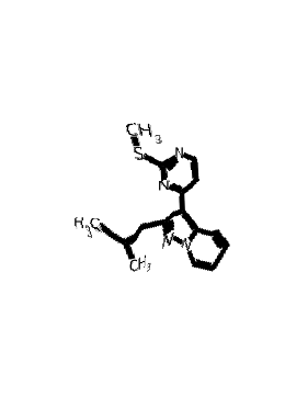 CSc1nccc(-c2c(CC(C)C)nn3ccccc23)n1